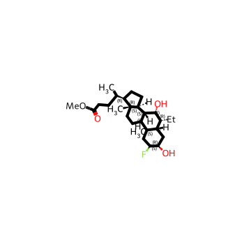 CC[C@H]1[C@@H](O)[C@@H]2[C@H](CC[C@]3(C)[C@@H](C(C)CCC(=O)OC)CC[C@@H]23)[C@@]2(C)C[C@H](F)[C@H](O)C[C@@H]12